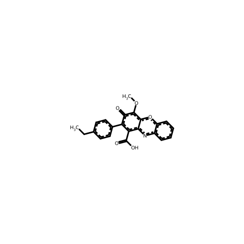 CCc1ccc(-c2c(C(=O)O)c3nc4ccccc4oc-3c(OC)c2=O)cc1